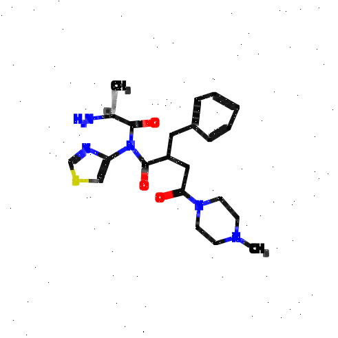 C[C@@H](N)C(=O)N(C(=O)C(CC(=O)N1CCN(C)CC1)Cc1ccccc1)c1cscn1